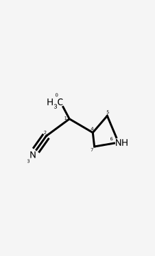 CC(C#N)C1CNC1